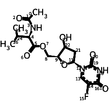 CC(=O)N[C@@H](C(=O)OC[C@@H]1O[C@H](n2cc(F)c(=O)[nH]c2=O)CC1O)C(C)C